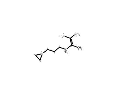 CC(C)=C(C)[SiH2]CCCN1CC1